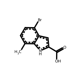 Cc1ccc(Br)c2cc(C(=O)O)[nH]c12